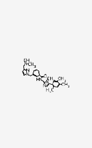 Cc1cc(C)c(-c2cnc(NC(=O)c3cccc(Cn4ccc(CN(C)C)n4)c3)n2C)cc1C